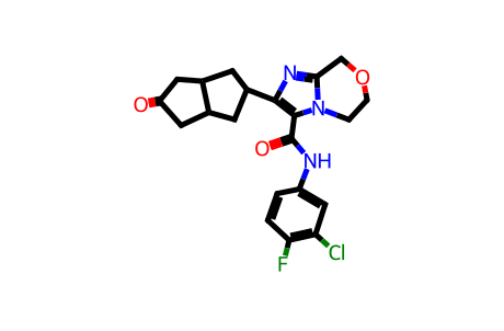 O=C1CC2CC(c3nc4n(c3C(=O)Nc3ccc(F)c(Cl)c3)CCOC4)CC2C1